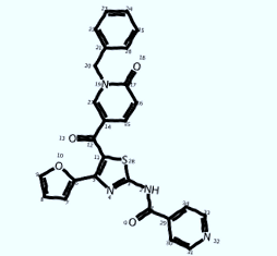 O=C(Nc1nc(-c2ccco2)c(C(=O)c2ccc(=O)n(Cc3ccccc3)c2)s1)c1ccncc1